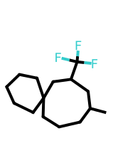 CC1CCCC2(CCCCC2)CC(C(F)(F)F)C1